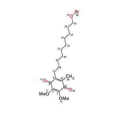 COC1=C(OC)C(=O)C(CCCCCCCCCCOBr)=C(C)C1=O